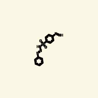 N=Nc1ccc(S(=O)(=O)NN=Nc2ccccc2)cc1